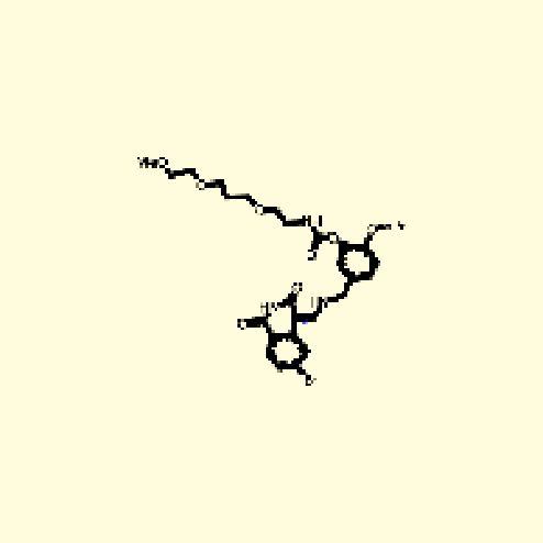 CCCOc1ccc(CN/C=C2\C(=O)NC(=O)c3ccc(Br)cc32)cc1OC(=O)NCCOCCCOCCOC